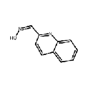 O/N=C\c1ccc2ccccc2n1